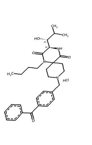 CCCCN1C(=O)[C@@H]([C@H](O)C(C)C)NC(=O)C12CCN(Cc1ccc(C(=O)c3ccccc3)cc1)CC2.Cl